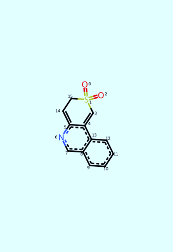 O=S1(=O)C=c2c(ncc3ccccc23)=CC1